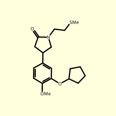 COc1ccc(C2CC(=O)N(CCSC)C2)cc1OC1CCCC1